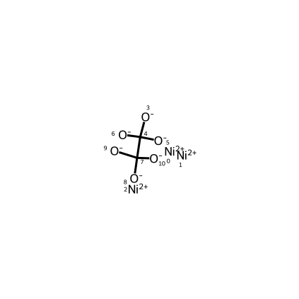 [Ni+2].[Ni+2].[Ni+2].[O-]C([O-])([O-])C([O-])([O-])[O-]